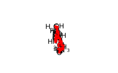 [2H]C([2H])([2H])Oc1cc(CN2CCN(C3CC4(CCN(c5ccc(C(=O)NS(=O)(=O)c6ccc(NCC7CCC(C)(O)CC7)c([N+](=O)[O-])c6)c(N6c7cc8cc[nH]c8nc7O[C@H]7COCC[C@@H]76)c5)CC4)C3)[C@H](c3ccccc3C)C2)cnc1N1CCOCC1